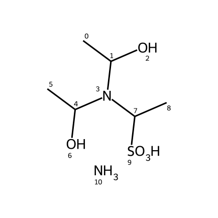 CC(O)N(C(C)O)C(C)S(=O)(=O)O.N